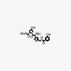 CNC(=O)[C@@H]1C[C@@H](O)CN1C(=O)[C@@H](n1cc(CNC(=O)c2cccc(C#N)c2)nn1)C(C)(C)C